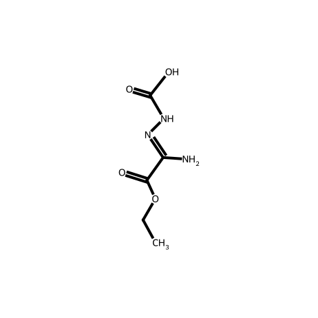 CCOC(=O)/C(N)=N/NC(=O)O